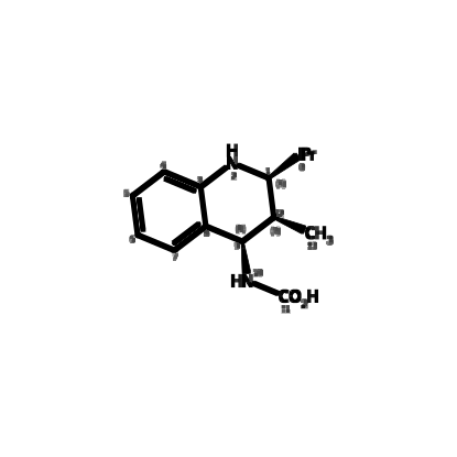 CC(C)[C@@H]1Nc2ccccc2[C@H](NC(=O)O)[C@@H]1C